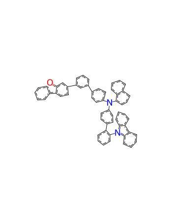 c1cc(-c2ccc(N(c3ccc(-c4ccccc4-n4c5ccccc5c5ccccc54)cc3)c3cccc4ccccc34)cc2)cc(-c2ccc3c(c2)oc2ccccc23)c1